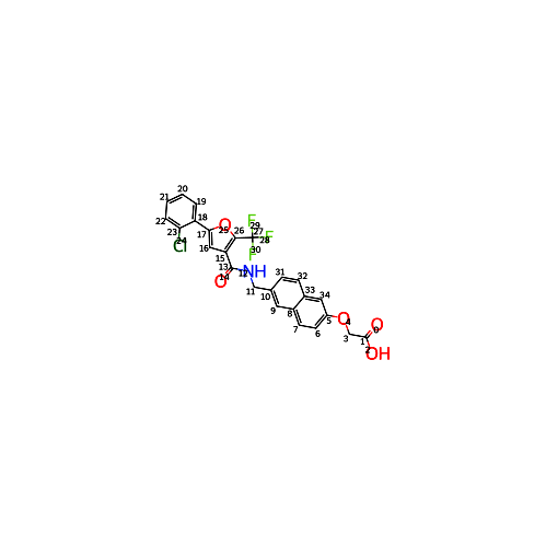 O=C(O)COc1ccc2cc(CNC(=O)c3cc(-c4ccccc4Cl)oc3C(F)(F)F)ccc2c1